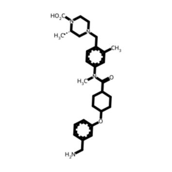 Cc1cc(N(C)C(=O)C2CCC(Oc3cccc(CN)c3)CC2)ccc1CN1CCN(C(=O)O)[C@@H](C)C1